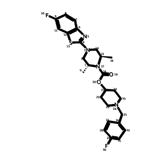 C[C@@H]1CN(c2nc3ccc(F)cc3s2)C[C@@H](C)N1C(=O)OC1CCN(Cc2ccc(F)cc2)CC1